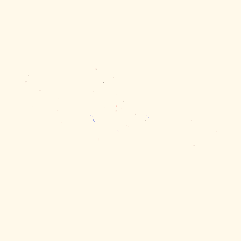 C=CC[C@H]1CN(C(=O)[C@H](C)NC(=O)OCc2ccccc2)C[C@@]1(NC(=O)OC(C)(C)C)C(=O)OCc1ccc(OC)cc1